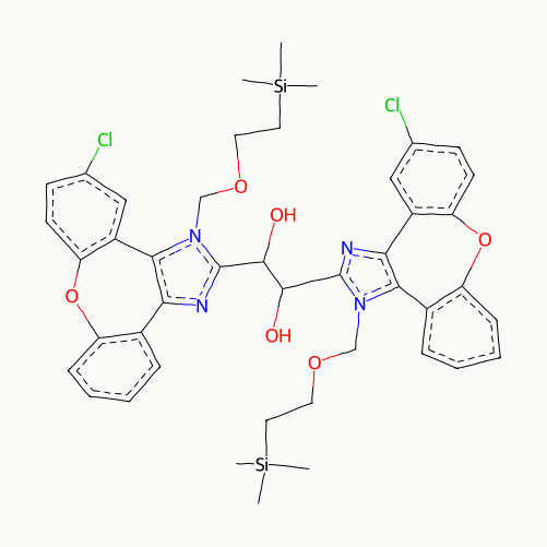 C[Si](C)(C)CCOCn1c(C(O)C(O)c2nc3c(n2COCC[Si](C)(C)C)-c2cc(Cl)ccc2Oc2ccccc2-3)nc2c1-c1ccccc1Oc1ccc(Cl)cc1-2